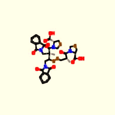 C[C@H](CSSC(CN1C(=O)c2ccccc2C1=O)[C@@](C)(CN1C(=O)c2ccccc2C1=O)C(=O)N1CSC[C@H]1C(=O)O)C(=O)N1CSC[C@H]1C(=O)O